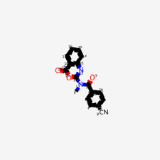 CN(C(=O)c1ccc(C#N)cc1)c1nc2ccccc2c(=O)o1